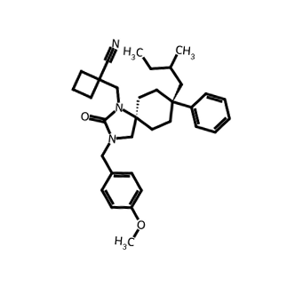 CCC(C)C[C@]1(c2ccccc2)CC[C@]2(CC1)CN(Cc1ccc(OC)cc1)C(=O)N2CC1(C#N)CCC1